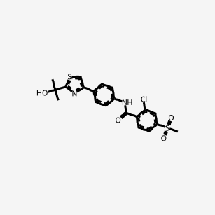 CC(C)(O)c1nc(-c2ccc(NC(=O)c3ccc(S(C)(=O)=O)cc3Cl)cc2)cs1